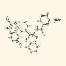 CNc1cc(C(=O)N[C@@H](Cc2ccccc2)C(=O)N2CCC[C@@]3(C2)OC(=O)Nc2ccc(Cl)cc23)ccn1